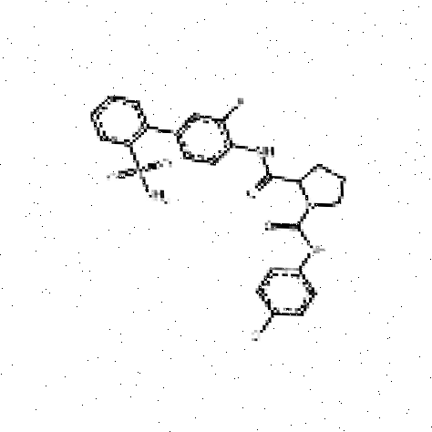 NS(=O)(=O)c1ccccc1-c1ccc(NC(=O)C2CCCN2C(=O)Nc2ccc(Cl)cc2)c(F)c1